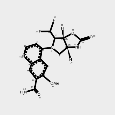 COc1cc2c(N3C[C@H]4NC(=O)O[C@H]4C3C(F)F)ccnc2cc1C(N)=O